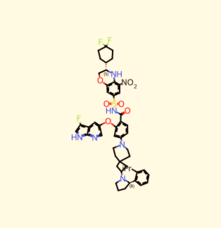 CC(C)c1ccccc1[C@H]1CCCN1C1CC2(CCN(c3ccc(C(=O)NS(=O)(=O)c4cc5c(c([N+](=O)[O-])c4)N[C@@H](C4CCC(F)(F)CC4)CO5)c(Oc4cnc5[nH]cc(F)c5c4)c3)CC2)C1